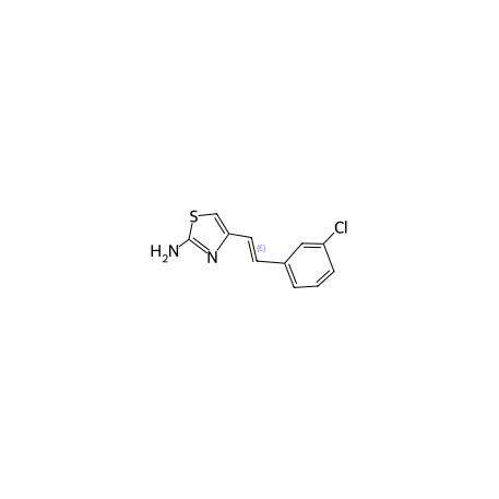 Nc1nc(/C=C/c2cccc(Cl)c2)cs1